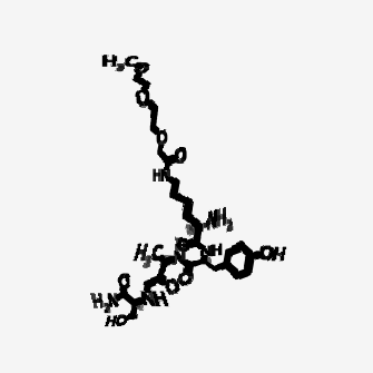 COCCOCCOCC(=O)NCCCC[C@H](N)C(=O)N[C@@H](Cc1ccc(O)cc1)C(=O)N[C@H](C)C(=O)CN[C@@H](CO)C(N)=O